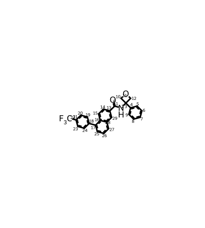 O=C(NC1(c2ccccc2)COC1)c1ccc2c(-c3ccc(C(F)(F)F)cc3)cccc2c1